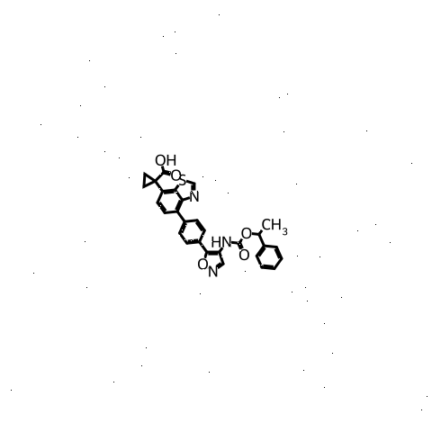 CC(OC(=O)Nc1cnoc1-c1ccc(-c2ccc(C3(C(=O)O)CC3)c3scnc23)cc1)c1ccccc1